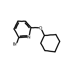 Brc1cccc(OC2CCCCC2)n1